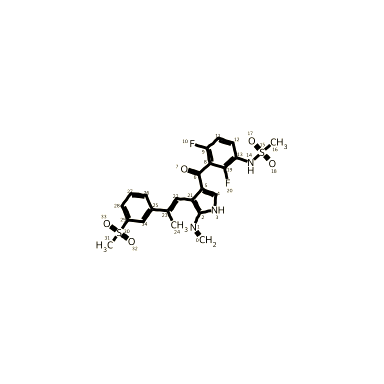 C=Nc1[nH]cc(C(=O)c2c(F)ccc(NS(C)(=O)=O)c2F)c1/C=C(\C)c1cccc(S(C)(=O)=O)c1